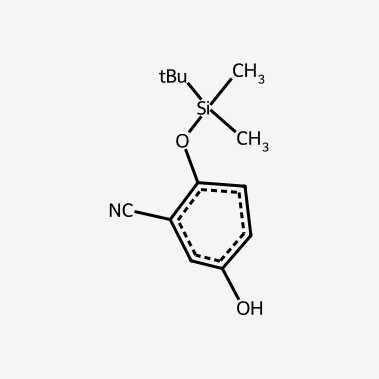 CC(C)(C)[Si](C)(C)Oc1ccc(O)cc1C#N